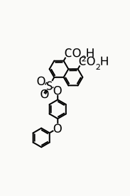 O=C(O)c1cccc2c(S(=O)(=O)Oc3ccc(Oc4ccccc4)cc3)ccc(C(=O)O)c12